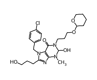 CN1c2nc(CCCO)n(Cc3ccc(Cl)cc3)c2C(=O)N(CCCOC2CCCCO2)C1O